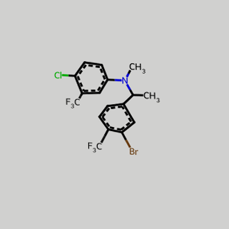 CC(c1ccc(C(F)(F)F)c(Br)c1)N(C)c1ccc(Cl)c(C(F)(F)F)c1